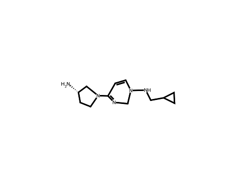 N[C@H]1CCN(C2=NCN(NCC3CC3)C=C2)C1